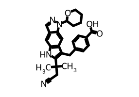 CC(C)(CC#N)c1[nH]c2cc3cnn(C4CCCCO4)c3cc2c1Cc1ccc(C(=O)O)cc1